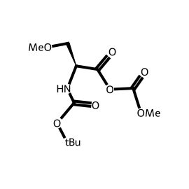 COC[C@H](NC(=O)OC(C)(C)C)C(=O)OC(=O)OC